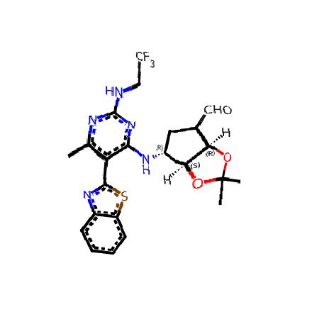 Cc1nc(NCC(F)(F)F)nc(N[C@@H]2CC(C=O)[C@H]3OC(C)(C)O[C@H]32)c1-c1nc2ccccc2s1